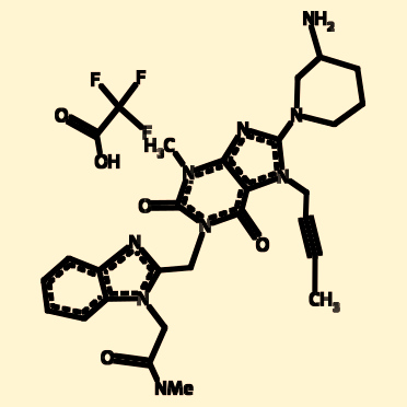 CC#CCn1c(N2CCCC(N)C2)nc2c1c(=O)n(Cc1nc3ccccc3n1CC(=O)NC)c(=O)n2C.O=C(O)C(F)(F)F